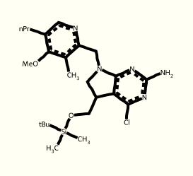 CCCc1cnc(CN2CC(CO[Si](C)(C)C(C)(C)C)c3c(Cl)nc(N)nc32)c(C)c1OC